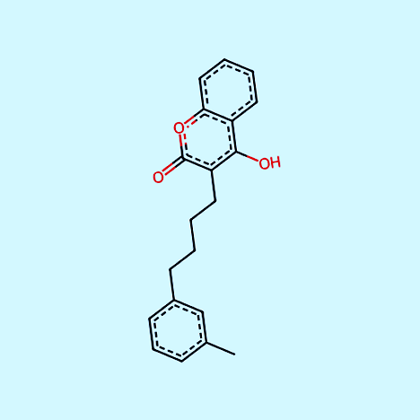 Cc1cccc(CCCCc2c(O)c3ccccc3oc2=O)c1